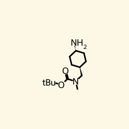 CN(C[C@H]1CC[C@H](N)CC1)C(=O)OC(C)(C)C